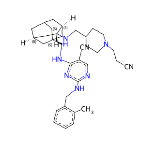 Cc1ccccc1CNc1ncc(C#N)c(NC[C@]23CC4C[C@H](C2)[C@@H](NCC2CCN(CCC#N)CC2)[C@@H](C4)C3)n1